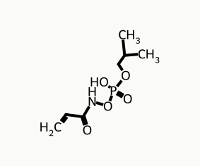 C=CC(=O)NOP(=O)(O)OCC(C)C